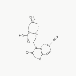 N#Cc1ccc2c(c1)N(CC[C@H]1CC[C@H](N)CN1C(=O)O)C(=O)CO2